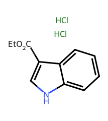 CCOC(=O)c1c[nH]c2ccccc12.Cl.Cl